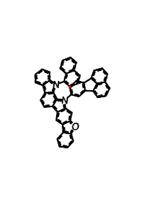 c1ccc2c(-n3c4ccccc4c4ccc5c6cc7c(cc6n(-c6ccc8c(c6)-c6cccc9cccc-8c69)c5c43)oc3ccccc37)cccc2c1